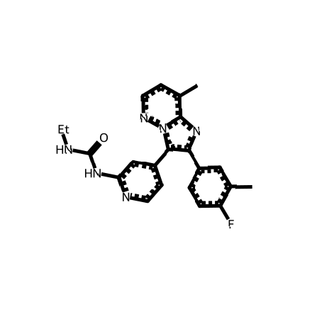 CCNC(=O)Nc1cc(-c2c(-c3ccc(F)c(C)c3)nc3c(C)ccnn23)ccn1